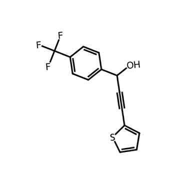 OC(C#Cc1cccs1)c1ccc(C(F)(F)F)cc1